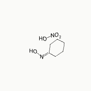 O=[N+]([O-])O.ON=C1CCCCC1